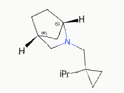 CC(C)C1(CN2C[C@@H]3CC[C@H]2C3)CC1